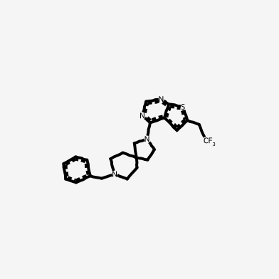 FC(F)(F)Cc1cc2c(N3CCC4(CCN(Cc5ccccc5)CC4)C3)ncnc2s1